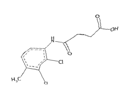 Cc1ccc(NC(=O)CCC(=O)O)c(Cl)c1Cl